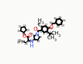 C=C(C)c1cc(C(=O)N2CCC(N[C@@H](CC(C)C)C(=O)OC3CCCC3)C2)c(C)cc1OCc1ccccc1